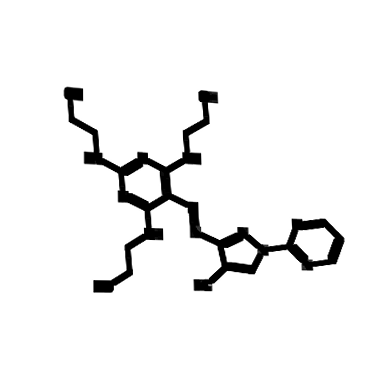 N#Cc1cn(-c2ncccn2)nc1/N=N/c1c(NCCO)nc(NCCO)nc1NCCO